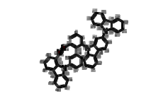 N#Cc1cccc(-n2c3ccccc3c3ccc(-n4c5ccccc5c5ccccc54)cc32)c1-c1cccc(-n2c3ccccc3c3cccc(C#N)c32)c1